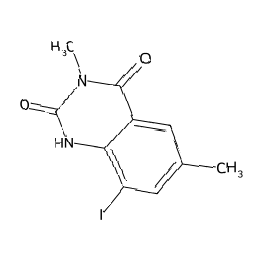 Cc1cc(I)c2[nH]c(=O)n(C)c(=O)c2c1